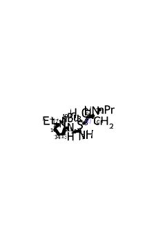 C=C(NCCC)/C(C)=C/SC(=N)CNC1=CC=CC(CC)N1CCCC